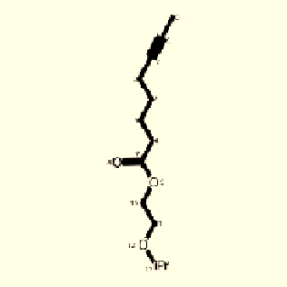 CC#CCCCCC(=O)OCCOC(C)C